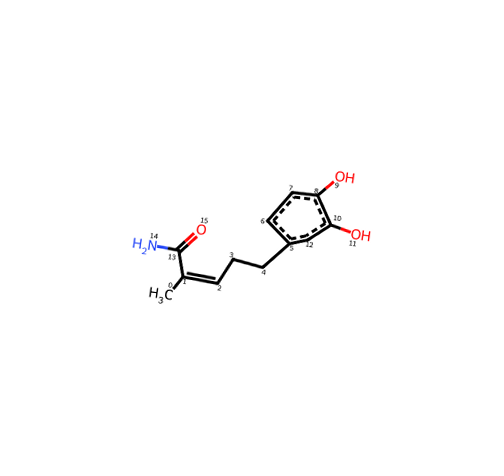 CC(=CCCc1ccc(O)c(O)c1)C(N)=O